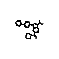 C[S+]([O-])c1cn(-c2ncc(-c3ccncc3)cn2)c2cc(C(=O)N3CCOCC3)ccc12